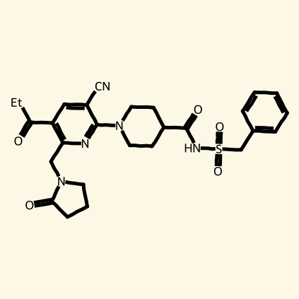 CCC(=O)c1cc(C#N)c(N2CCC(C(=O)NS(=O)(=O)Cc3ccccc3)CC2)nc1CN1CCCC1=O